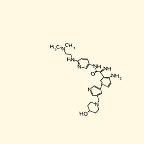 CN(C)CCNc1ccc(NC(=O)C(=N)c2cc(-c3cncc(CN4CCC(O)CC4)c3)ccc2N)cn1